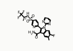 Cc1cc2c(C(N)=O)c(-c3ccc(S(=O)(=O)N[C@@H](C)C(F)(F)F)cn3)n(-c3ncccn3)c2cc1F